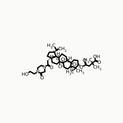 C=C(C)[C@@H]1CC[C@]2(CC(=O)N3CCN(CCO)C(=O)C3)CC[C@]3(C)[C@H](CC[C@@H]4[C@@]5(C)CC[C@H](OC(=O)CC(C)(C)C(=O)O)C(C)(C)[C@@H]5CC[C@]43C)[C@@H]12